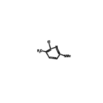 CNc1ccc(C(F)(F)F)c(Cl)n1